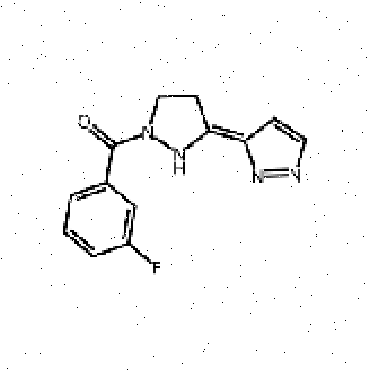 O=C(c1cccc(F)c1)N1CCC(=C2C=CN=N2)N1